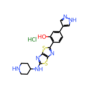 Cl.Oc1cc(-c2cn[nH]c2)ccc1-c1nc2sc(NC3CCNCC3)nc2s1